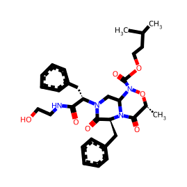 CC(C)CCOC(=O)N1O[C@H](C)C(=O)N2C1CN([C@@H](Cc1ccccc1)C(=O)NCCO)C(=O)[C@@H]2Cc1ccccc1